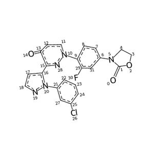 O=C1OCCN1c1ccc(-n2ccc(=O)c(-c3ccnn3-c3cccc(Cl)c3)n2)c(F)c1